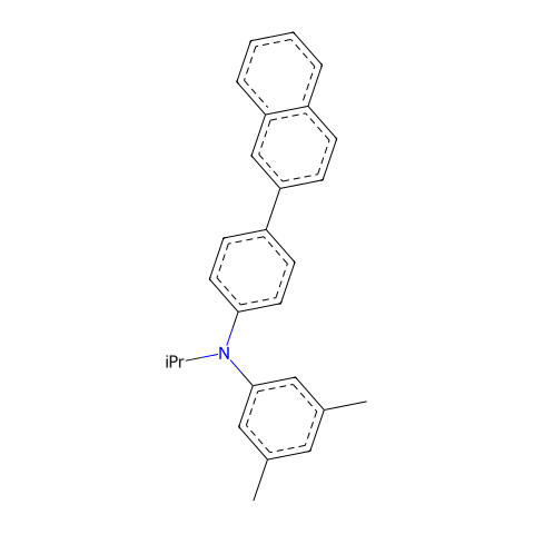 Cc1cc(C)cc(N(c2ccc(-c3ccc4ccccc4c3)cc2)C(C)C)c1